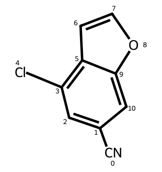 N#Cc1cc(Cl)c2ccoc2c1